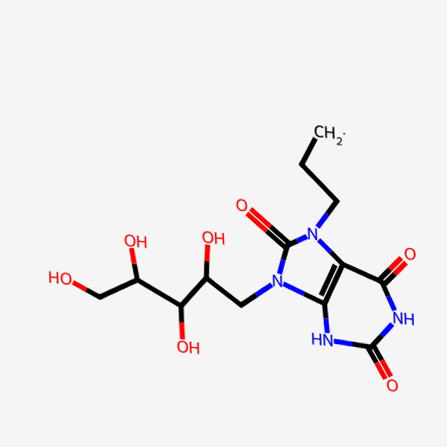 [CH2]CCn1c(=O)n(CC(O)C(O)C(O)CO)c2[nH]c(=O)[nH]c(=O)c21